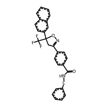 O=C(NCc1ccccc1)c1ccc(C2=NOC(c3ccc4ccccc4c3)(C(F)(F)F)C2)cc1